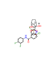 Cc1ccc(F)c(C(O)[C@@]2(O)C3CC[C@H]2C[C@H](S(=O)(=O)c2cc(C(=O)Nc4ccc(F)c(F)c4)ccc2Cl)C3)n1